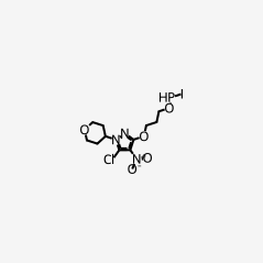 O=[N+]([O-])c1c(OCCCOPI)nn(C2CCOCC2)c1Cl